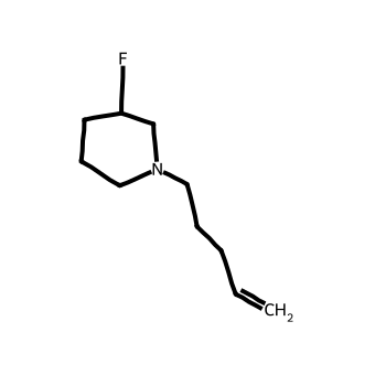 C=CCCCN1CCCC(F)C1